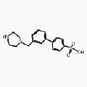 O=S(=O)(O)c1ccc(-c2cccc(CN3CCNCC3)c2)cc1